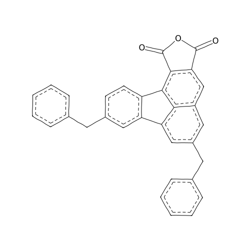 O=C1OC(=O)c2c1cc1cc(Cc3ccccc3)cc3c1c2-c1ccc(Cc2ccccc2)cc1-3